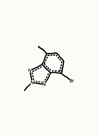 Cc1ccc(Br)c2nn(C)nc12